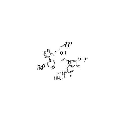 CC(C)(C)NC[C@H](O)COc1nsnc1N1CCOCC1.Cl.O.O=C(O)c1cn(C2CC2)c2cc(N3CCNCC3)c(F)cc2c1=O